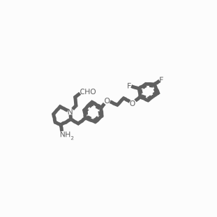 NC1CCCN(CCC=O)C1Cc1ccc(OCCOc2ccc(F)cc2F)cc1